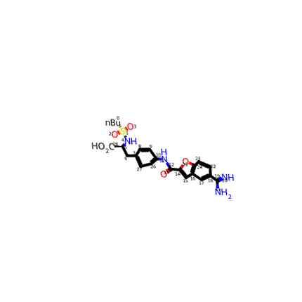 CCCCS(=O)(=O)N[C@@H](Cc1ccc(NC(=O)c2cc3cc(C(=N)N)ccc3o2)cc1)C(=O)O